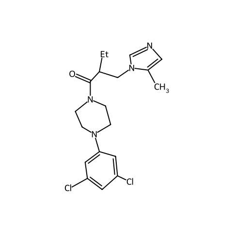 CCC(Cn1cncc1C)C(=O)N1CCN(c2cc(Cl)cc(Cl)c2)CC1